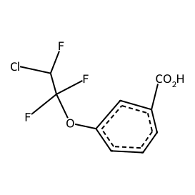 O=C(O)c1cccc(OC(F)(F)C(F)Cl)c1